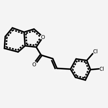 O=C(C=Cc1ccc(Cl)c(Cl)c1)c1occ2ccccc12